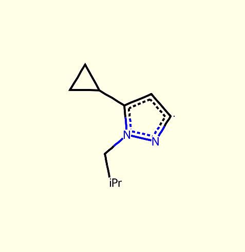 CC(C)Cn1n[c]cc1C1CC1